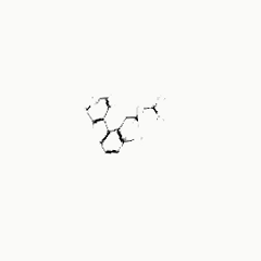 N=C(N)NC(=O)Cc1c(Cl)cccc1-c1ccncc1